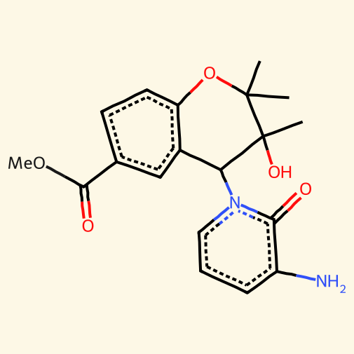 COC(=O)c1ccc2c(c1)C(n1cccc(N)c1=O)C(C)(O)C(C)(C)O2